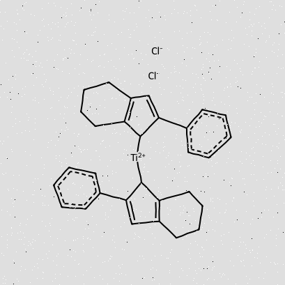 C1=C(c2ccccc2)[CH]([Ti+2][CH]2C(c3ccccc3)=CC3=C2CCCC3)C2=C1CCCC2.[Cl-].[Cl-]